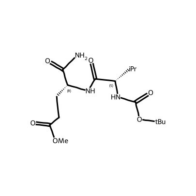 COC(=O)CC[C@@H](NC(=O)[C@@H](NC(=O)OC(C)(C)C)C(C)C)C(N)=O